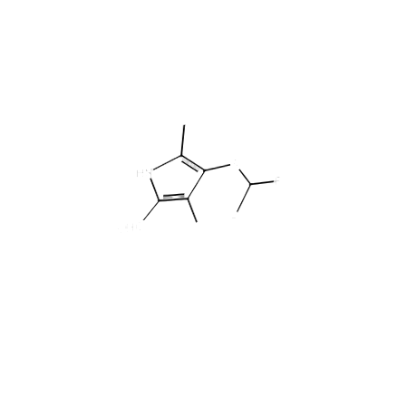 Cc1[nH]c(C=O)c(C)c1SC(F)F